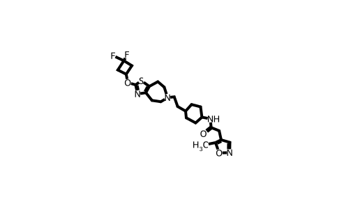 Cc1oncc1CC(=O)NC1CCC(CCN2CCc3nc(OC4CC(F)(F)C4)sc3CC2)CC1